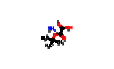 CC(C)(C)OC(=O)C(=O)O.N